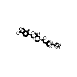 Cc1c([C@@H]2CN3CCN(C(=O)Cc4cnc(-n5cnnn5)nc4)C[C@@H]3CO2)ccc2c1COC2=O